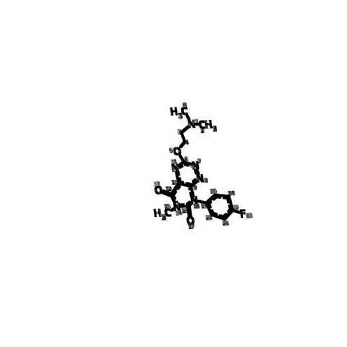 CN(C)CCOc1nnc2c(n1)c(=O)n(C)c(=O)n2-c1ccc(F)cc1